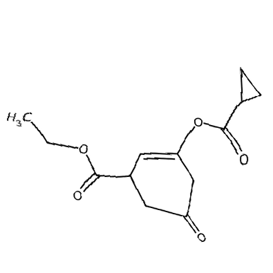 CCOC(=O)C1C=C(OC(=O)C2CC2)CC(=O)C1